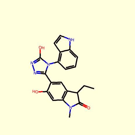 CCC1C(=O)N(C)c2cc(O)c(-c3nnc(O)n3-c3cccc4[nH]ccc34)cc21